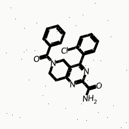 NC(=O)c1nc2c(c(-c3ccccc3Cl)n1)CN(C(=O)c1ccccc1)CC2